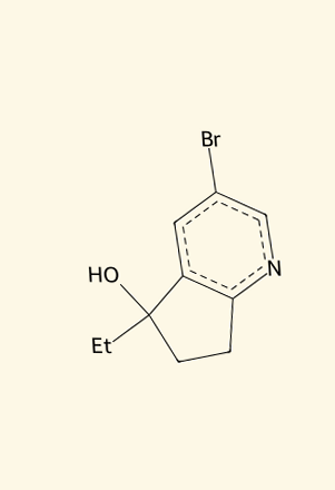 CCC1(O)CCc2ncc(Br)cc21